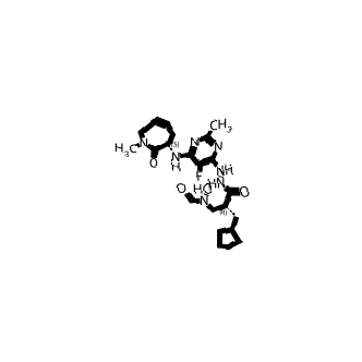 Cc1nc(NNC(=O)[C@H](CC2CCCC2)CN(O)C=O)c(F)c(N[C@H]2CC=CCN(C)C2=O)n1